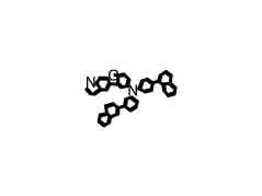 c1cc(-c2ccc3ccccc3c2)cc(N(c2ccc(-c3cccc4ccccc34)cc2)c2ccc3oc4cc5ncccc5cc4c3c2)c1